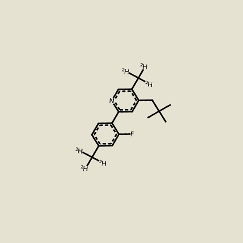 [2H]C([2H])([2H])c1ccc(-c2cc(CC(C)(C)C)c(C([2H])([2H])[2H])cn2)c(F)c1